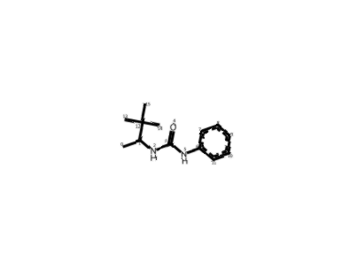 CC(NC(=O)Nc1ccccc1)C(C)(C)C